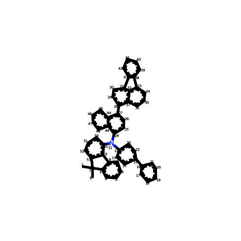 CC1(C)c2ccccc2-c2c(N(c3ccc(-c4ccccc4)cc3)c3ccc(-c4ccc5c6c(cccc46)-c4ccccc4-5)c4ccccc34)cccc21